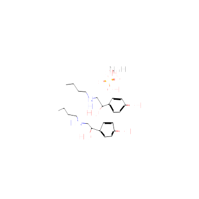 CCCCNCC(O)c1ccc(O)cc1.CCCCNCC(O)c1ccc(O)cc1.O=S(=O)(O)O.[NaH]